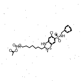 CC(=O)O[PH](=O)OCCCCCCCC1Nc2cc(Cl)c(S(=O)(=O)NCc3ccccc3)cc2SN1C